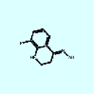 ON=C1CCNc2c(F)cccc21